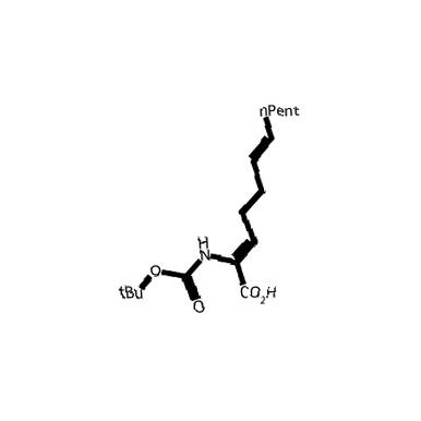 CCCCC/C=C/CC/C=C(\NC(=O)OC(C)(C)C)C(=O)O